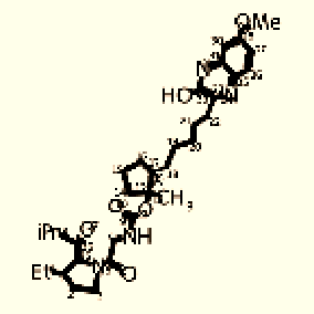 CCC1CCN(C(=O)CNC(=O)OC2(C)CCC[C@H]2CCCCCc2nc3ccc(OC)cc3nc2O)C1C(=O)C(C)C